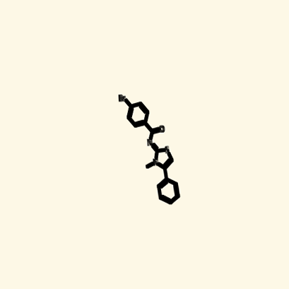 Cn1c(-c2ccccc2)csc1=NC(=O)c1ccc(Br)cc1